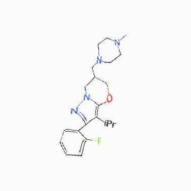 CC(C)c1c(-c2ccccc2F)nn2c1OCC(CN1CCN(C)CC1)C2